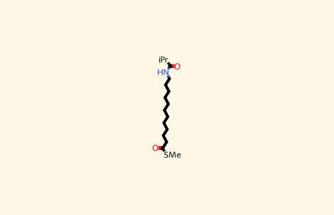 CSC(=O)CCCCCCCCCCCNC(=O)C(C)C